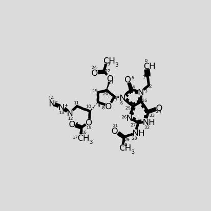 C#CCn1c(=O)n([C@@H]2O[C@H](C(CN=[N+]=[N-])OC(C)=O)C[C@H]2OC(C)=O)c2nc(NC(C)=O)[nH]c(=O)c21